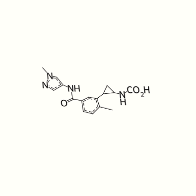 Cc1ccc(C(=O)Nc2cnn(C)c2)cc1C1CC1NC(=O)O